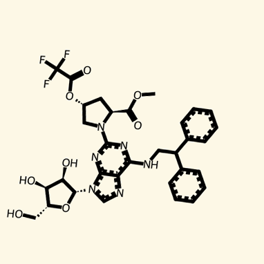 COC(=O)[C@@H]1C[C@@H](OC(=O)C(F)(F)F)CN1c1nc(NCC(c2ccccc2)c2ccccc2)c2ncn([C@@H]3O[C@H](CO)[C@@H](O)[C@H]3O)c2n1